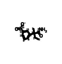 CCC(C)(C(N)=O)c1cccc([N+](=O)[O-])c1